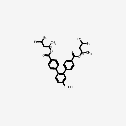 CCC(CC)C[C@@H](C)OC(=O)c1ccc(-c2ccc(C(=O)O)cc2-c2ccc(C(=O)O[C@H](C)CC(CC)CC)cc2)cc1